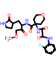 O=C(Nc1ccccc1F)C(=O)NC1(C(=O)NC(CC2CCNC2=O)C(=O)COC(F)(F)F)CCOCC1